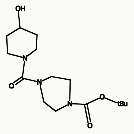 CC(C)(C)OC(=O)N1CCN(C(=O)N2CCC(O)CC2)CC1